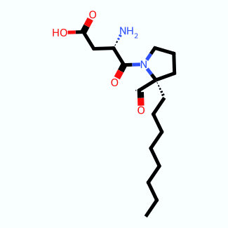 CCCCCCCC[C@@]1([C]=O)CCCN1C(=O)[C@@H](N)CC(=O)O